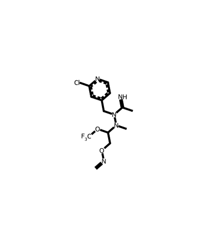 C=NOCC(OC(F)(F)F)N(C)N(Cc1ccnc(Cl)c1)C(C)=N